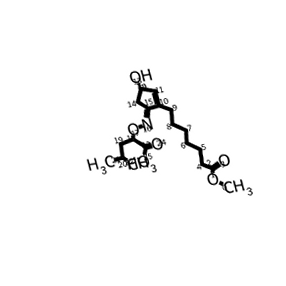 COC(=O)CCCCCCC1=C[C@H](O)CC1=NOC(CC(C)C)C(=O)O